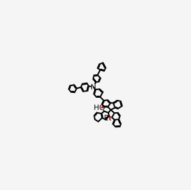 CCC1c2ccccc2C=CC1C1(C2C=CC3=C(C=CCC3)C2O)c2ccccc2-c2cc(-c3ccc(N(c4ccc(-c5ccccc5)cc4)c4ccc(-c5ccccc5)cc4)cc3)ccc21